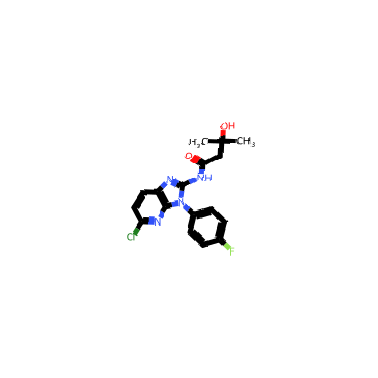 CC(C)(O)CC(=O)Nc1nc2ccc(Cl)nc2n1-c1ccc(F)cc1